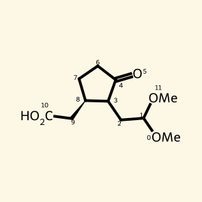 COC(CC1C(=O)CC[C@@H]1CC(=O)O)OC